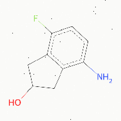 Nc1ccc(F)c2c1CC(O)C2